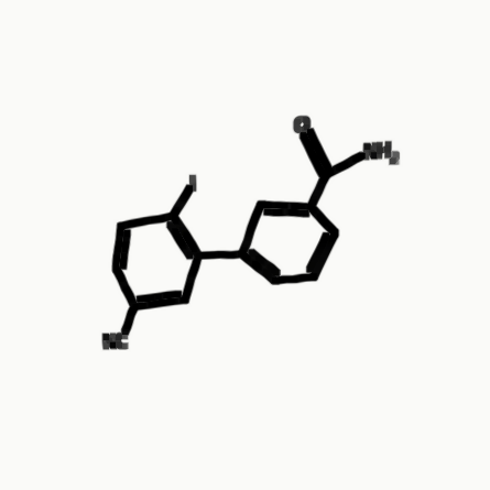 N#Cc1ccc(I)c(-c2cccc(C(N)=O)c2)c1